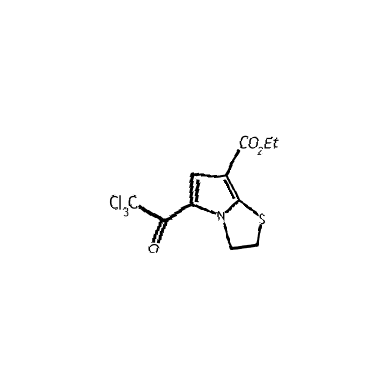 CCOC(=O)c1cc(C(=O)C(Cl)(Cl)Cl)n2c1SCC2